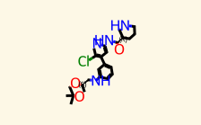 CC1(C)CO[C@@H](CNc2cccc(-c3cc(NC(=O)[C@@H]4CCCNC4)ncc3Cl)c2)CO1